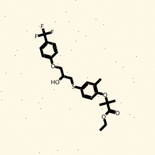 CCOC(=O)C(C)(C)Oc1ccc(SCC(O)COc2ccc(C(F)(F)F)cc2)cc1C